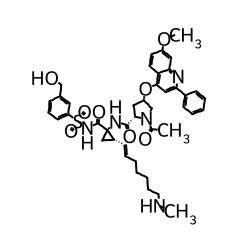 CNCCCCC/C=C/[C@@H]1C[C@]1(NC(=O)[C@@H]1C[C@@H](Oc2cc(-c3ccccc3)nc3cc(OC)ccc23)CN1C(C)=O)C(=O)NS(=O)(=O)c1cccc(CO)c1